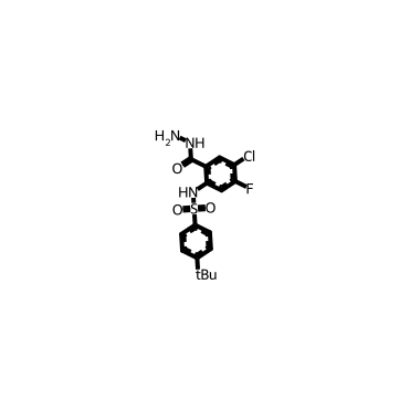 CC(C)(C)c1ccc(S(=O)(=O)Nc2cc(F)c(Cl)cc2C(=O)NN)cc1